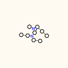 c1ccc(-c2ccc(-c3cccc4c3c3ccc(N(c5ccc(-c6ccccc6)cc5)c5cccc(-c6ccccc6)c5)cc3n4-c3ccccc3)cc2)cc1